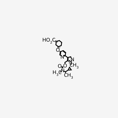 CC(C1CC1)N(C)C(=O)OCc1c(-c2ccc(O[C@H]3CCC[C@H](C(=O)O)C3)cn2)cnn1C